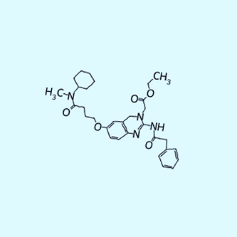 CCOC(=O)CN1Cc2cc(OCCCC(=O)N(C)C3CCCCC3)ccc2N=C1NC(=O)Cc1ccccc1